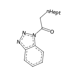 CCCCCCCCC(=O)n1nnc2ccccc21